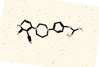 CC(C)Oc1ccc(N2CCCN(c3cc[nH]c(=S)c3C#N)CC2)cc1